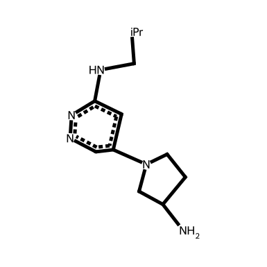 CC(C)CNc1cc(N2CCC(N)C2)cnn1